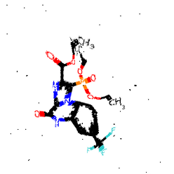 CCOC(=O)c1nc2c(=O)[nH]c3cc(C(F)(F)F)ccc3n2c1P(=O)(OCC)OCC